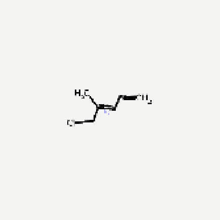 C=C/C=C(\C)CCl